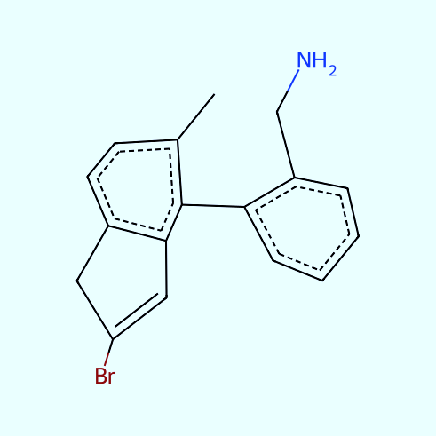 Cc1ccc2c(c1-c1ccccc1CN)C=C(Br)C2